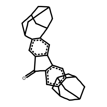 O=C1c2cc3c(cc2-c2cc4c(cc21)C1CC2CC(C1)CC4C2)C1CC2CC(CC3C2)C1